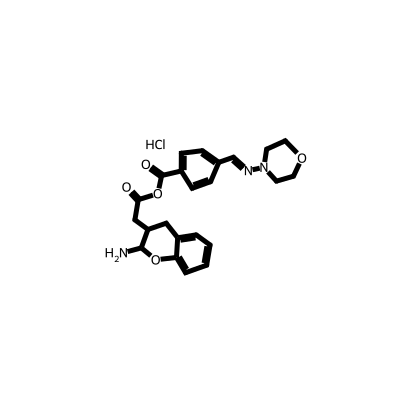 Cl.NC1Oc2ccccc2CC1CC(=O)OC(=O)c1ccc(C=NN2CCOCC2)cc1